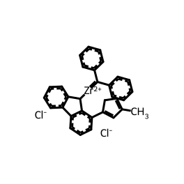 CC1=CCC(c2cccc3c2[CH]([Zr+2]=[C](c2ccccc2)c2ccccc2)c2ccccc2-3)=C1.[Cl-].[Cl-]